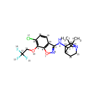 CC1(C)C(Nc2noc3c(OCC(F)(F)F)c(Cl)ccc23)C2CCN1CC2